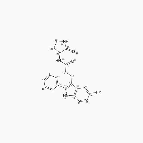 O=C(CCc1c(-c2ccccc2)[nH]c2ccc(F)cc12)N[C@H]1CCNC1=O